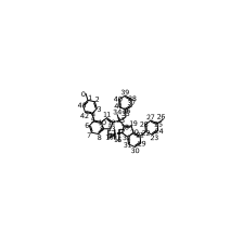 Cc1ccc(-c2cccc3c2C=C2[CH]3[Hf]([CH3])([CH3])[CH]3C(=Cc4c(-c5ccc(C)cc5)cccc43)C2(C)Cc2ccccc2)cc1